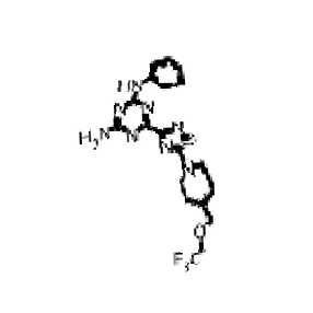 Nc1nc(Nc2ccccc2)nc(-c2noc(N3CCC(COCC(F)(F)F)CC3)n2)n1